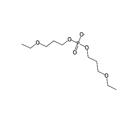 CCOCCCOP([O])(=O)OCCCOCC